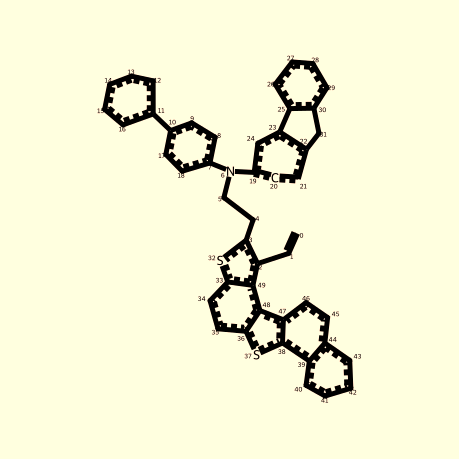 C=Cc1c(CCN(c2ccc(-c3ccccc3)cc2)c2ccc3c(c2)-c2ccccc2C3)sc2ccc3sc4c5ccccc5ccc4c3c12